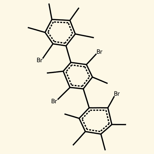 Cc1c(C)c(C)c(-c2c(C)c(Br)c(-c3c(C)c(C)c(C)c(C)c3Br)c(C)c2Br)c(Br)c1C